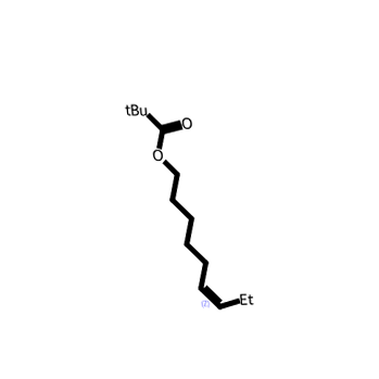 CC/C=C\CCCCCOC(=O)C(C)(C)C